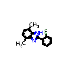 Cc1ccc(C)c2[nH]c(-c3ccccc3F)nc12